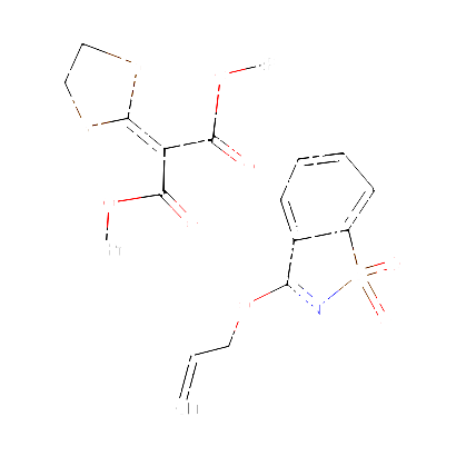 C=CCOC1=NS(=O)(=O)c2ccccc21.CC(C)OC(=O)C(C(=O)OC(C)C)=C1SCCS1